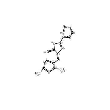 Cc1ccc(/C=C2/N=C(c3ccccc3)OC2=O)c(C)c1